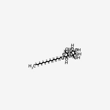 CCCCCCCCCCCCCCCCO[C@@H]1OC(CO)[C@@H](O[C@H]2OC(CO)[C@@H](O)[C@@H](O)C2O)C(O)[C@@H]1O